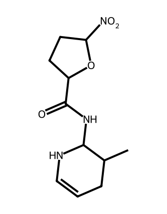 CC1CC=CNC1NC(=O)C1CCC([N+](=O)[O-])O1